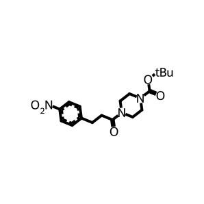 CC(C)(C)OC(=O)N1CCN(C(=O)CCc2ccc([N+](=O)[O-])cc2)CC1